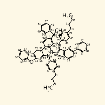 CCCCc1ccc(N2B3c4oc5ccc(-c6ccccc6)cc5c4N(c4ccc(CCCC)cc4)c4c3c(cc3c4C(C)(C)c4ccccc4-3)-c3cc4c(cc32)oc2ccccc24)cc1